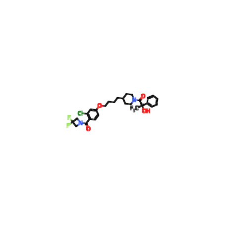 O=C(c1ccc(OCCCCC2CCN(C(=O)[C@@](O)(c3ccccc3)C(F)(F)F)CC2)cc1Cl)N1CC(F)(F)C1